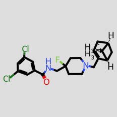 CC1(C)[C@H]2CC=C(CN3CCC(F)(CNC(=O)c4cc(Cl)cc(Cl)c4)CC3)[C@@H]1C2